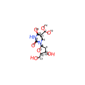 COC(OC)c1cn([C@H]2C[C@H](O)[C@@H](CO)O2)c(=O)[nH]c1=O